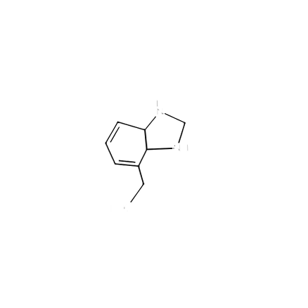 CCC1=CC=CC2N[C]NC12